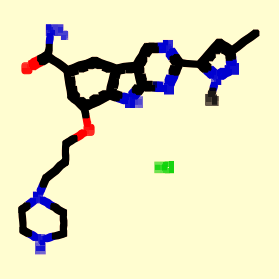 CCn1nc(C)cc1-c1ncc2c(n1)[nH]c1c(OCCCN3CCNCC3)cc(C(N)=O)cc12.Cl